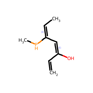 C=C/C(O)=C\C(=C/C)PC